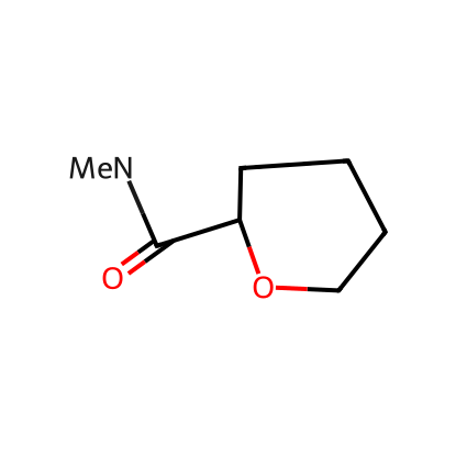 CNC(=O)C1CCCCO1